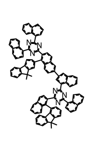 CC1(C)c2ccccc2-c2ccc(-c3c(-c4nc(-c5cccc6ccccc56)nc(-c5cccc6ccccc56)n4)ccc4cc(-c5cc(-c6nc(-c7ccc8ccccc8c7-c7cccc8c7-c7ccccc7C8(C)C)nc(-c7cccc8ccccc78)n6)c6ccccc6c5)ccc34)cc21